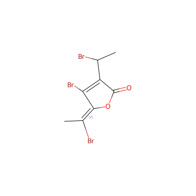 C/C(Br)=C1/OC(=O)C(C(C)Br)=C1Br